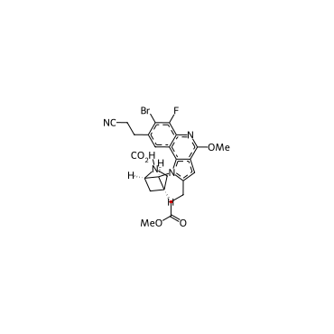 COC(=O)CCc1cc2c(OC)nc3c(F)c(Br)c(CCC#N)cc3c2n1[C@H]1[C@@H]2C[C@H]1N(C(=O)O)C2